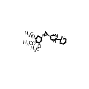 COc1cc([C@@H]2C[C@H]2c2cnc(-c3ccccn3)nc2)cc(OC)c1OC